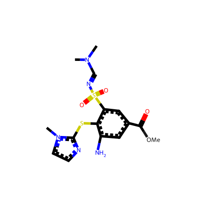 COC(=O)c1cc(N)c(Sc2nccn2C)c(S(=O)(=O)N=CN(C)C)c1